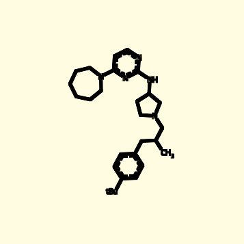 CC(Cc1ccc(C(C)(C)C)cc1)CN1CCC(Nc2nccc(N3CCCCCC3)n2)C1